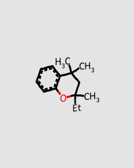 CCC1(C)CC(C)(C)c2ccccc2O1